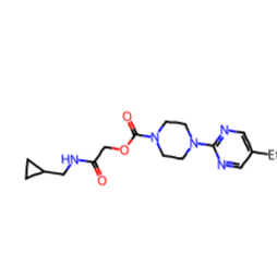 CCc1cnc(N2CCN(C(=O)OCC(=O)NCC3CC3)CC2)nc1